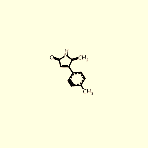 C=C1NC(=O)C=C1c1c#cc(C)cc1